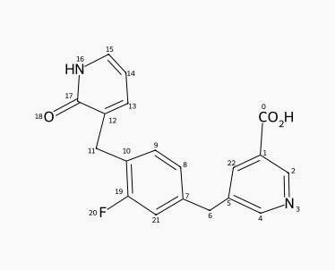 O=C(O)c1cncc(Cc2ccc(Cc3ccc[nH]c3=O)c(F)c2)c1